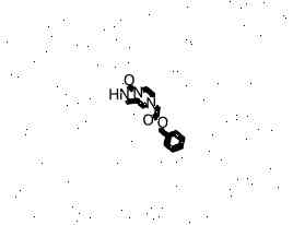 O=C(CN1CCN2C(=O)NCC2C1)OCc1ccccc1